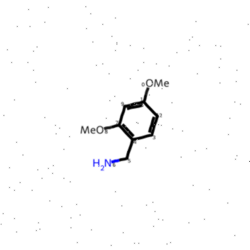 COc1[c]cc(CN)c(OC)c1